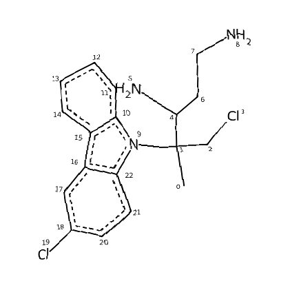 CC(CCl)(C(N)CCN)n1c2ccccc2c2cc(Cl)ccc21